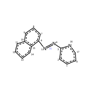 c1ccc(/N=N/c2cccc3ccccc23)nc1